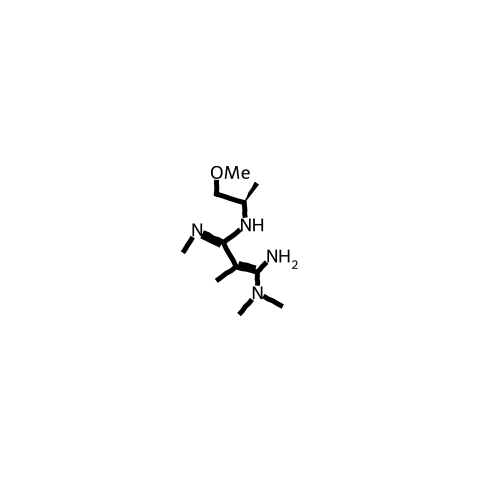 C/N=C(N[C@H](C)COC)\C(C)=C(/N)N(C)C